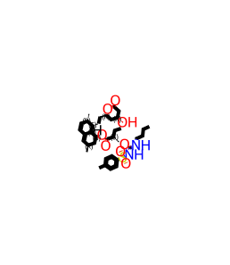 CCCCNC(=O)NS(=O)(=O)c1ccc(C)cc1.CC[C@H](C)C(=O)O[C@H]1C[C@@H](C)C=C2C=C[C@H](C)[C@H](CC[C@@H]3C[C@@H](O)CC(=O)O3)[C@H]21